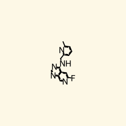 Cc1cccc(CNc2ncnc3cnc(F)cc23)n1